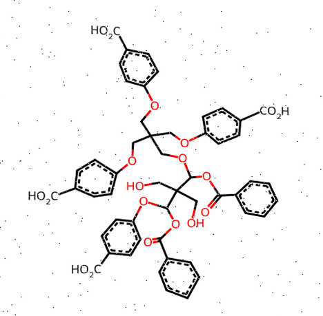 O=C(O)c1ccc(OCC(COc2ccc(C(=O)O)cc2)(COc2ccc(C(=O)O)cc2)COC(OC(=O)c2ccccc2)C(CO)(CO)C(OC(=O)c2ccccc2)Oc2ccc(C(=O)O)cc2)cc1